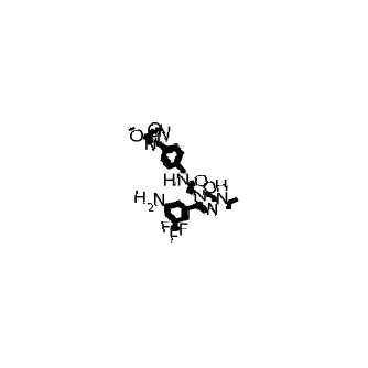 COc1nc(-c2ccc(CNC(=O)Cn3c(-c4cc(N)cc(C(F)(F)F)c4)cnc(NC(C)C)c3=O)cc2)no1